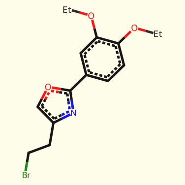 CCOc1ccc(-c2nc(CCBr)co2)cc1OCC